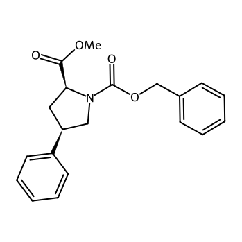 COC(=O)[C@@H]1C[C@H](c2ccccc2)CN1C(=O)OCc1ccccc1